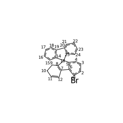 Brc1cccc2c1C1=C(CCC=C1)C21c2ccccc2-c2ccccc21